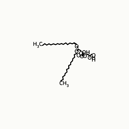 CCCCCCCCCCCCCCCC/C=C\OC[C@H](COP(=O)(O)OC[C@@H](O)CO)OC(=O)CCCCCCCCCCCCCCCC